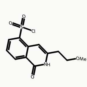 COCCc1cc2c(S(=O)(=O)Cl)cccc2c(=O)[nH]1